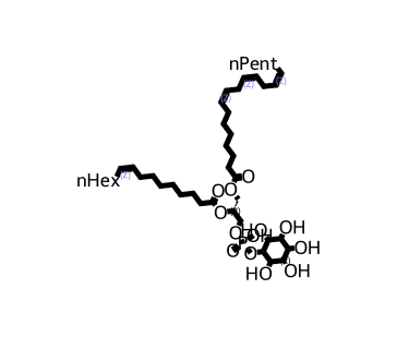 CCCCC/C=C\C/C=C\C/C=C\CCCCCCC(=O)OC[C@H](COP(=O)(O)OC1C(O)C(O)C(O)[C@@H](O)C1O)OC(=O)CCCCCCC/C=C\CCCCCC